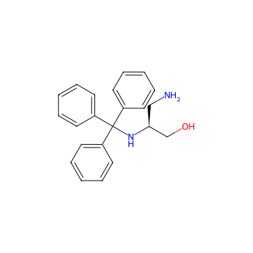 NC[C@@H](CO)NC(c1ccccc1)(c1ccccc1)c1ccccc1